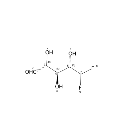 O=C[C@H](O)[C@H](O)[C@H](O)C(F)F